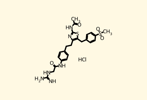 CC(=O)Nc1nc(CCc2ccc(NC(=O)CNC(=N)N)cc2)c(Cc2ccc(S(C)(=O)=O)cc2)s1.Cl